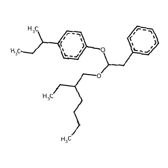 CCCCC(CC)COC(Cc1ccccc1)Oc1ccc(C(C)CC)cc1